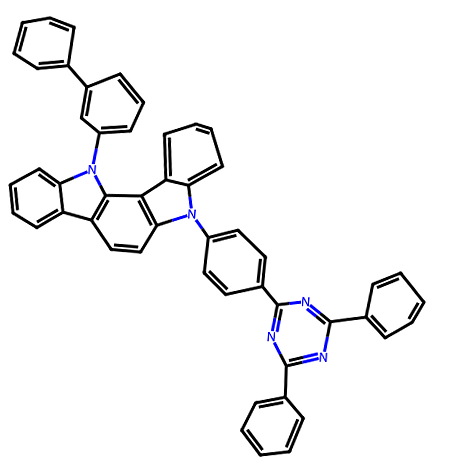 c1ccc(-c2cccc(-n3c4ccccc4c4ccc5c(c6ccccc6n5-c5ccc(-c6nc(-c7ccccc7)nc(-c7ccccc7)n6)cc5)c43)c2)cc1